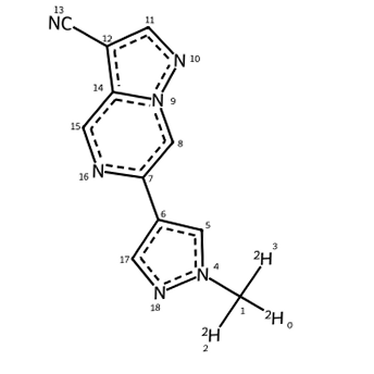 [2H]C([2H])([2H])n1cc(-c2cn3ncc(C#N)c3cn2)cn1